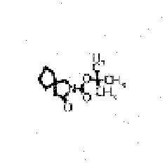 CC(C)(C)OC(=O)N1CC2(CCCC2)CC1=O